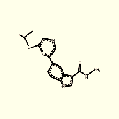 CC(C)Oc1cncc(-c2ccc3[nH]cc(C(=O)NN)c3c2)n1